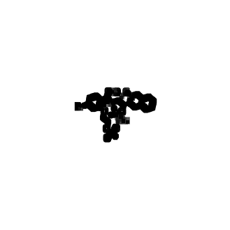 CC(C)(C)[Si](C)(C)OC(CNC(=O)c1ccc(Br)cc1OCCOS(C)(=O)=O)[C@@H]1Cc2ccccc2CN1C(=O)O